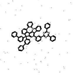 c1ccc(-c2cccc(C3(c4cccc(-c5ccccc5)c4)c4cccc5c4-c4c3cc(-c3cccc(-c6nc(-c7ccccc7)nc(-c7ccccc7)n6)c3)c3c6ccccc6n(c43)-c3ccccc3-5)c2)cc1